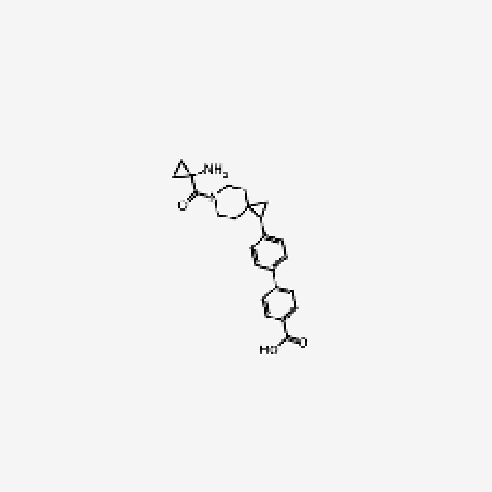 NC1(C(=O)N2CCC3(CC2)C[C@H]3c2ccc(-c3ccc(C(=O)O)cc3)cc2)CC1